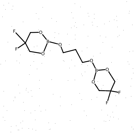 FC1(F)COB(OCCCOB2OCC(F)(F)CO2)OC1